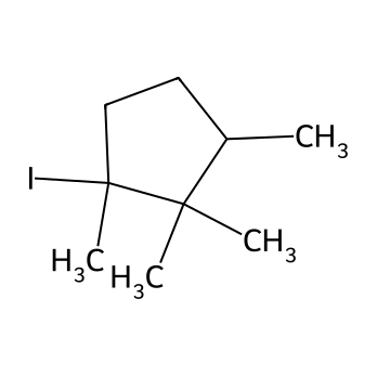 CC1CCC(C)(I)C1(C)C